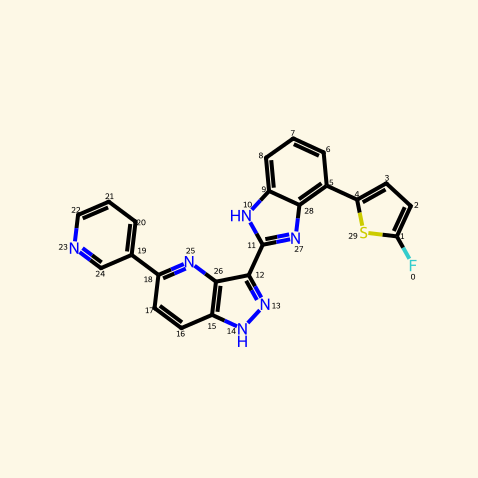 Fc1ccc(-c2cccc3[nH]c(-c4n[nH]c5ccc(-c6cccnc6)nc45)nc23)s1